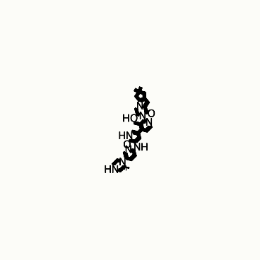 C[C@H]1CNCCN1c1ccc(Nc2cc(-c3ccnc(N4CCn5c(cc6c5CC(C)(C)C6)C4=O)c3CO)c[nH]c2=O)nc1